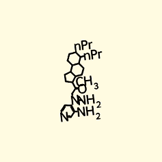 CCCC1CCC2C(CCC3(C)C(C(=O)CN(N)c4ccncc4N)CCC23)C1CCC